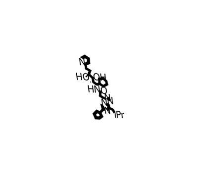 CC(C)Cc1nc(-c2ccccc2)cn2c(CC(=O)NC([CH][C@@H](O)[C@@H](O)CCc3ccccn3)C3CCCCC3)nnc12